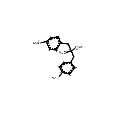 COc1ccc(CC(Cc2ccc(OC)cc2)(OC)OC)cc1